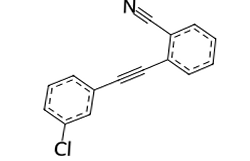 N#Cc1ccccc1C#Cc1cccc(Cl)c1